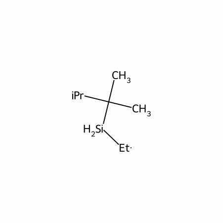 C[CH][SiH2]C(C)(C)C(C)C